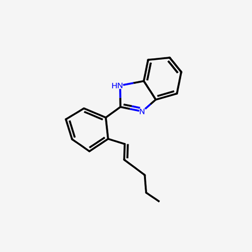 CCCC=Cc1ccccc1-c1nc2ccccc2[nH]1